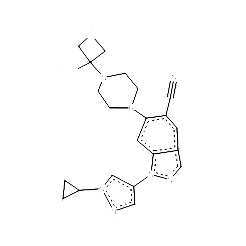 CC1(N2CCN(c3cc4c(cnn4-c4cnn(C5CC5)c4)cc3C#N)CC2)COC1